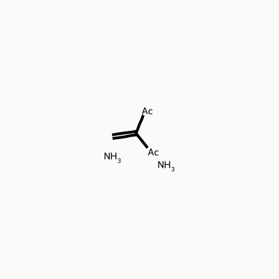 C=C(C(C)=O)C(C)=O.N.N